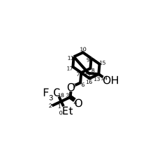 CCC(C)(C(=O)OCC12CC3CC(CC(O)(C3)C1)C2)C(F)(F)F